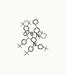 CC(C)(C)c1ccc(C2c3cc(N(c4ccc(C(C)(C)C)cc4)c4ccc(C(C)(C)C)cc4)cc4c3B(c3cc(-c5ccccc5)cc5c3N4C3(C)CCCCC53C)c3c2oc2cc4c(cc32)C(C)(C)CCC4(C)C)cc1